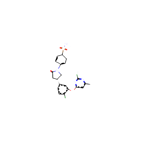 Cc1cc(Oc2cc([C@H]3CC(=O)N(C4=CCC(S(N)(=O)=O)C=C4)C3)ccc2Cl)nc(Cl)n1